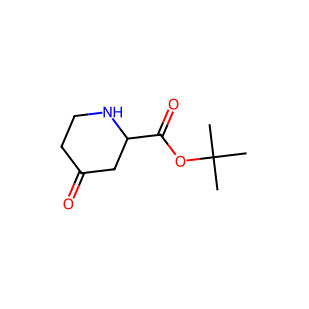 CC(C)(C)OC(=O)C1CC(=O)CCN1